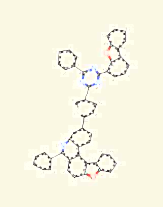 c1ccc(-c2nc(-c3ccc(-c4ccc5c(c4)nc(-c4ccccc4)c4ccc6oc7ccccc7c6c45)cc3)nc(-c3cccc4c3oc3ccccc34)n2)cc1